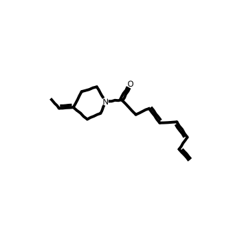 C=C/C=C\C=C\CC(=O)N1CCC(=CC)CC1